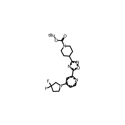 CC(C)(C)OC(=O)N1CCC(c2noc(-c3cc(N4CCC(F)(F)C4)ccn3)n2)CC1